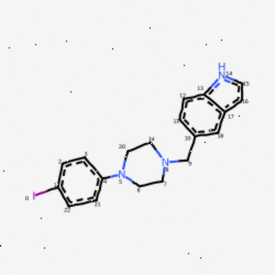 Ic1ccc(N2CCN(Cc3ccc4[nH]ccc4c3)CC2)cc1